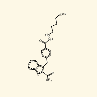 CCCCCCCCCCCCCCNNC(=O)c1ccc(Cc2c(C(N)=O)oc3ccccc23)cc1